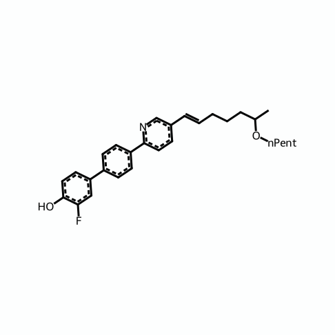 CCCCCOC(C)CCC/C=C/c1ccc(-c2ccc(-c3ccc(O)c(F)c3)cc2)nc1